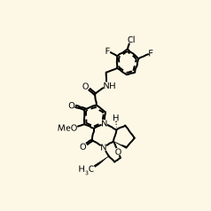 COc1c2n(cc(C(=O)NCc3ccc(F)c(Cl)c3F)c1=O)[C@H]1CCC[C@]13OCC[C@@H](C)N3C2=O